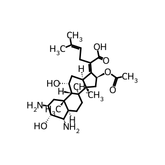 CC(=O)O[C@H]1C[C@@]2(C)[C@@H](C[C@@H](O)[C@H]3[C@@]4(C)C[C@H](N)[C@@H](O)[C@@H](N)[C@@H]4CC[C@@]32C)/C1=C(\CC=C(C)C)C(=O)O